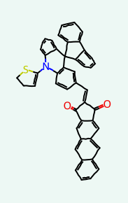 O=C1C(=Cc2ccc3c(c2)C2(c4ccccc4-c4ccccc42)c2ccccc2N3C2=CCCS2)C(=O)c2cc3cc4ccccc4cc3cc21